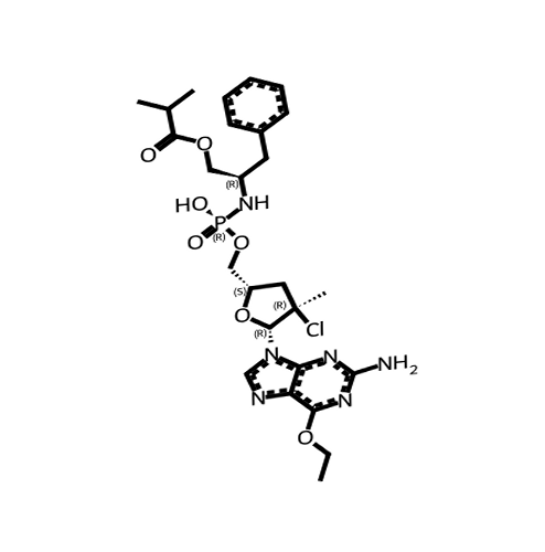 CCOc1nc(N)nc2c1ncn2[C@@H]1O[C@H](CO[P@](=O)(O)N[C@@H](COC(=O)C(C)C)Cc2ccccc2)C[C@@]1(C)Cl